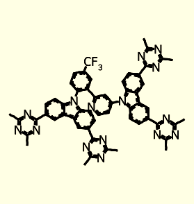 Cc1nc(C)nc(-c2ccc3c(c2)c2cc(-c4nc(C)nc(C)n4)ccc2n3-c2ccnc(-c3cc(C(F)(F)F)ccc3-n3c4ccc(-c5nc(C)nc(C)n5)cc4c4cc(-c5nc(C)nc(C)n5)ccc43)c2)n1